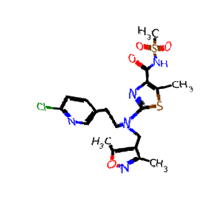 Cc1noc(C)c1CN(CCc1ccc(Cl)nc1)c1nc(C(=O)NS(C)(=O)=O)c(C)s1